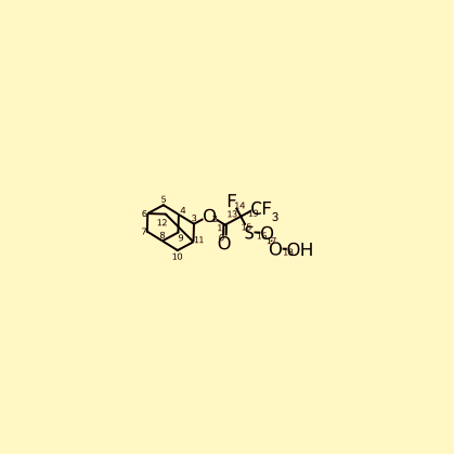 O=C(OC1C2CC3CC(C2)CC1C3)C(F)(SOOO)C(F)(F)F